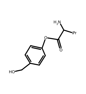 CC(C)C(N)C(=O)Oc1ccc(CO)cc1